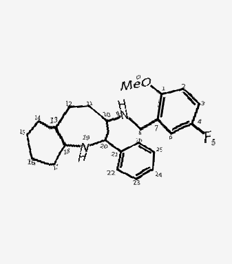 COc1ccc(F)cc1CNC1CCC2CCCCC2NC1c1ccccc1